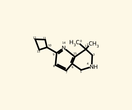 CC1(C)CNCc2ccc(C3CCC3)nc21